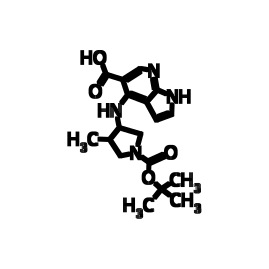 CC1CN(C(=O)OC(C)(C)C)CC1Nc1c(C(=O)O)cnc2[nH]ccc12